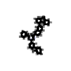 N/C(=N\C(=N/Cc1ccccc1)c1ccc2sc3ccccc3c2c1)c1ccc2ccc(-c3cccc4oc5ccccc5c34)cc2c1